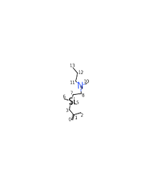 C=C(C)C[Si](C)(C)CCN(C)CCC